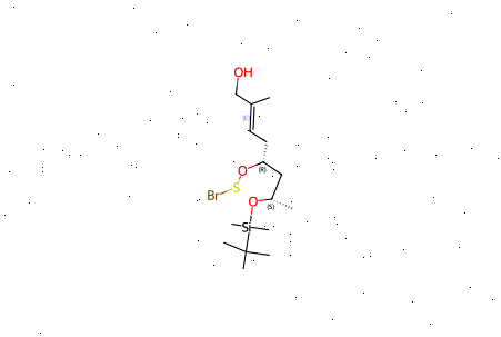 C/C(=C\C[C@H](C[C@H](C)O[Si](C)(C)C(C)(C)C)OSBr)CO